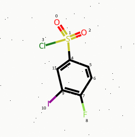 O=S(=O)(Cl)c1ccc(F)c(I)c1